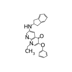 CCn1cc(Oc2ccccc2)c(=O)c2cc(NC3Cc4ccccc4C3)cnc21